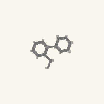 COc1ccccc1-c1cc[c]cn1